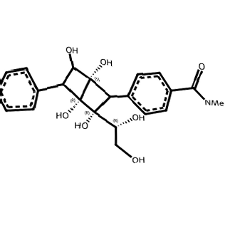 CNC(=O)c1ccc(C2[C@]3(O)C(O)C(c4ccccc4)[C@]3(O)[C@]2(O)[C@H](O)CO)cc1